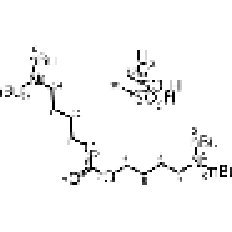 CCCCN(CCCC)CCCCOC(=O)OCCCCN(CCCC)CCCC.CS(=O)(=O)O.CS(=O)(=O)O.O